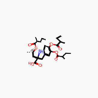 CCCC(C)C(=O)O[C@@H](C)CC(N)(Cc1ccc(OC(=O)C(C)CC)c(OC(=O)C(C)CC)c1)C(=O)O